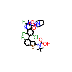 CC(C)(C)OC(=O)N1C2CCC1CN(c1nc(F)nc3c(F)c(-c4c(F)ccc5sc(N(C(=O)O)C(C)(C)C)cc45)c(Cl)cc13)C2